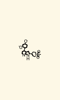 COc1ccc(-c2ccnc3[nH]c(C4=CCN(S(C)(=O)=O)CC4)cc23)c(OC)c1